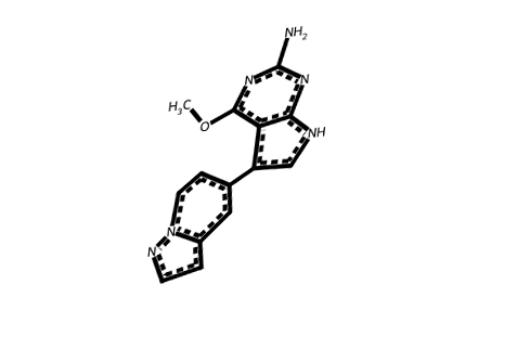 COc1nc(N)nc2[nH]cc(-c3ccn4nccc4c3)c12